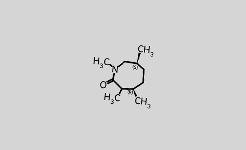 CC1C(=O)N(C)C[C@@H](C)CC[C@H]1C